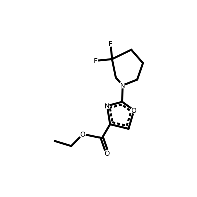 CCOC(=O)c1coc(N2CCCC(F)(F)C2)n1